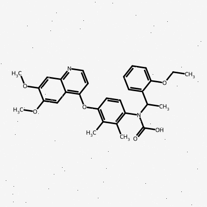 CCOc1ccccc1C(C)N(C(=O)O)c1ccc(Oc2ccnc3cc(OC)c(OC)cc23)c(C)c1C